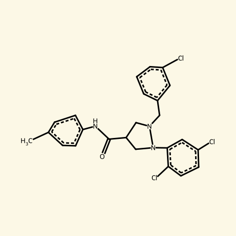 Cc1ccc(NC(=O)C2CN(Cc3cccc(Cl)c3)N(c3cc(Cl)ccc3Cl)C2)cc1